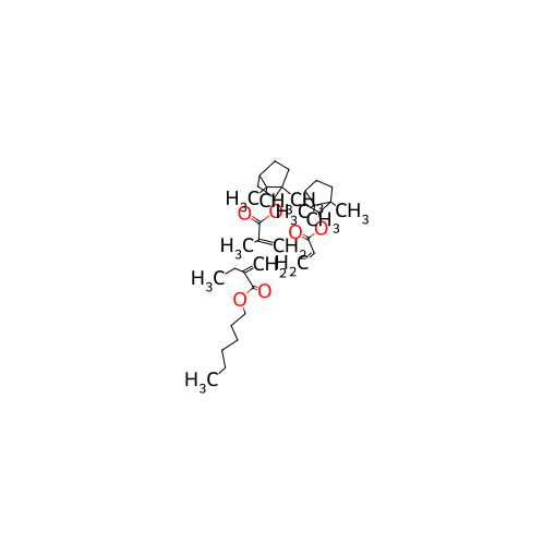 C=C(C)C(=O)OC1CC2CCC1(C)C2(C)C.C=C(CC)C(=O)OCCCCCC.C=CC(=O)OC1CC2CCC1(C)C2(C)C